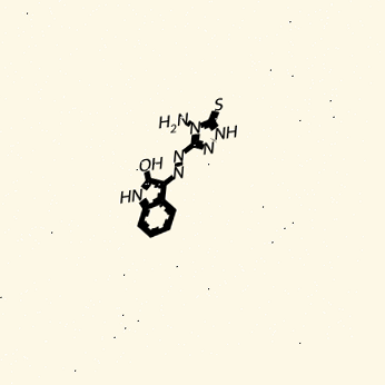 Nn1c(N=Nc2c(O)[nH]c3ccccc23)n[nH]c1=S